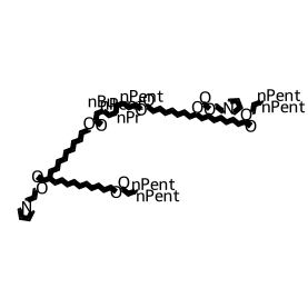 CCCCCC(CCCCC)CCOC(=O)CCCCCCCC(CCCCCCCC(=O)OCCC(CCCCC)C(CCCC)C(CCC)CC(CCCCC)CC(=O)OCCCCCCCCCCC(CCCCCCCCCCOC(=O)CC(CCCCC)CCCCC)C(=O)OCCCN1CCCC1)OC(=O)OCCN1CCCC1